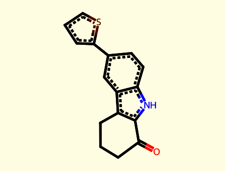 O=C1CCCc2c1[nH]c1ccc(-c3cccs3)cc21